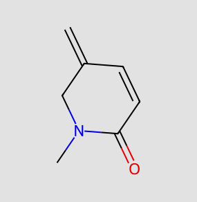 C=C1C=CC(=O)N(C)C1